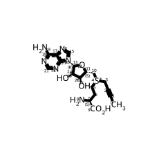 CC#CC[S+](CC[C@H](N)C(=O)O)C[C@H]1O[C@@H](n2cnc3c(N)ncnc32)[C@H](O)[C@@H]1O